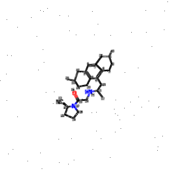 CC1CCc2c(cc3c(c2CC(C)NCC(=O)N2CCC[C@H]2C#N)CCC(C)C3)C1